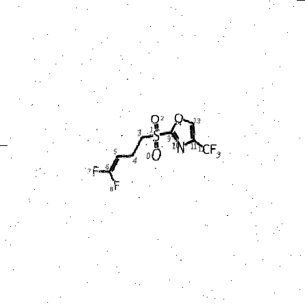 O=S(=O)(CCC=C(F)F)c1nc(C(F)(F)F)co1